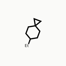 CCC1CCC2(CC1)CC2